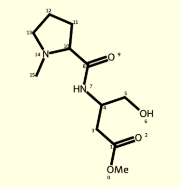 COC(=O)CC(CO)NC(=O)C1CCCN1C